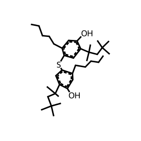 CCCCCc1cc(O)c(C(C)(C)CC(C)(C)C)cc1Sc1cc(C(C)(C)CC(C)(C)C)c(O)cc1CCCCC